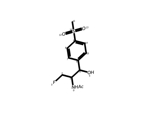 CC(=O)NC(CF)C(O)c1ccc(S(C)(=O)=O)cc1